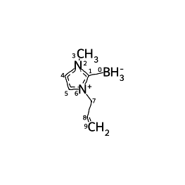 [BH3-]c1n(C)cc[n+]1CC=C